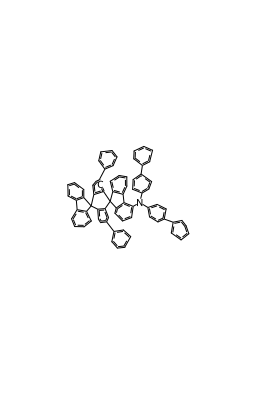 c1ccc(-c2ccc(N(c3ccc(-c4ccccc4)cc3)c3cccc4c3-c3ccccc3C43c4cc(-c5ccccc5)ccc4C4(c5ccccc5-c5ccccc54)c4ccc(-c5ccccc5)cc43)cc2)cc1